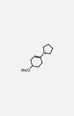 COC1CC=C(N2CCCC2)CC1